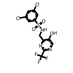 O=S(=O)(NCc1nc(C(F)(F)F)ncc1O)c1cc(Cl)cc(Cl)c1